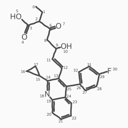 CCC(C(=O)O)C(=O)CC(O)C=Cc1c(C2CC2)nc2ccccc2c1-c1ccc(F)cc1